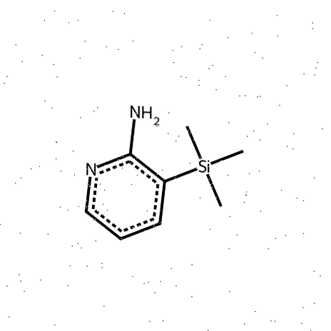 C[Si](C)(C)c1cccnc1N